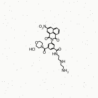 Cl.NCCNCCNC(=O)c1cc(C(=O)N2CCOCC2)cc(N2C(=O)c3cccc4cc([N+](=O)[O-])cc(c34)C2=O)c1